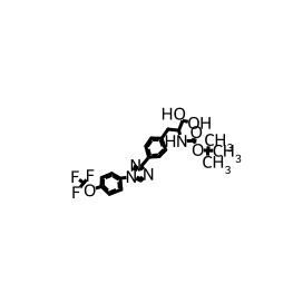 CC(C)(C)OC(=O)NC(Cc1ccc(-c2ncn(-c3ccc(OC(F)(F)F)cc3)n2)cc1)C(O)O